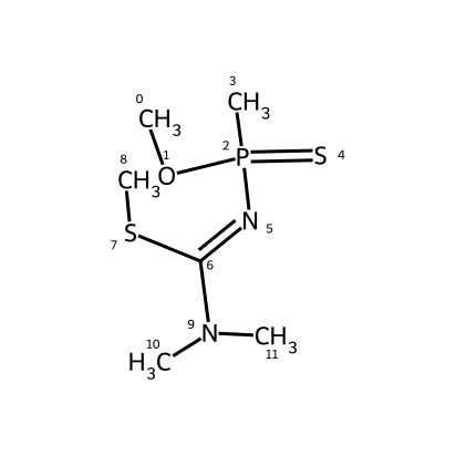 COP(C)(=S)/N=C(\SC)N(C)C